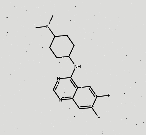 CN(C)C1CCC(Nc2ncnc3cc(F)c(F)cc23)CC1